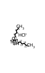 CCCCCCOP(O)(=S)OCCCCCC.Cl